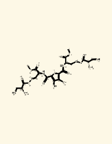 COC(=O)C(CSSC(=O)[C@@H](N)CS)NC(=O)c1sc(C(=O)NC(CSSC(=O)[C@@H](N)CS)C(=O)OC)c(O)c1O